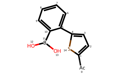 CC(=O)c1ccc(-c2ccccc2B(O)O)s1